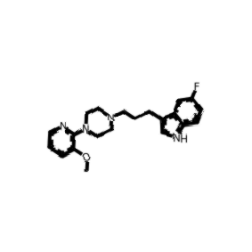 COc1cccnc1N1CCN(CCCc2c[nH]c3ccc(F)cc23)CC1